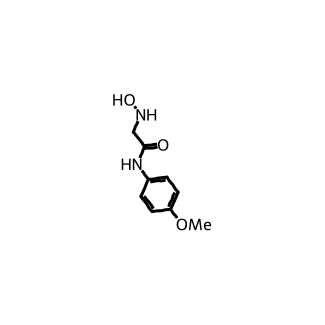 COc1ccc(NC(=O)CNO)cc1